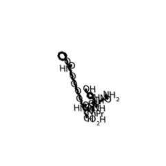 CC(C)[C@H](NC(=O)[C@@H](CCC(=O)O)NC(=O)CCOCCOCCOCCOCCNC(=O)COC1C#CCCCCC1)C(=O)N[C@@H](CCCNC(N)=O)C(=O)Nc1ccc(CO)cc1